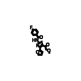 COCC(=O)c1sc(NC(=O)c2ccc(F)cc2)nc1-c1ccco1